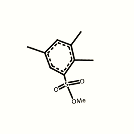 COS(=O)(=O)c1cc(C)cc(C)c1C